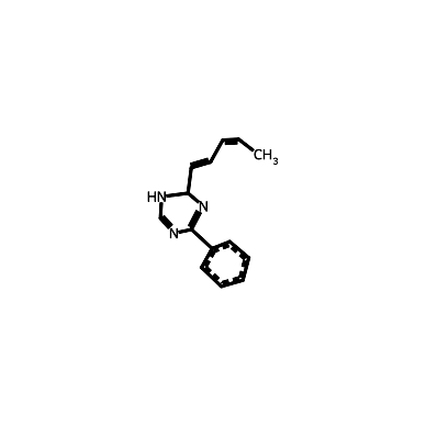 C/C=C\C=C\C1N=C(c2ccccc2)N=CN1